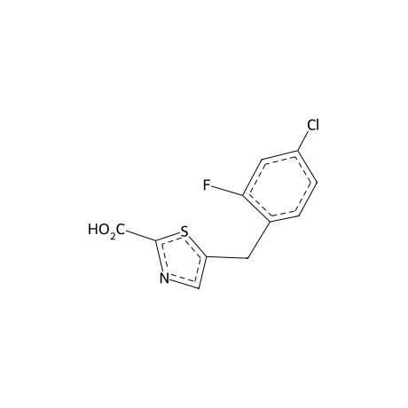 O=C(O)c1ncc(Cc2ccc(Cl)cc2F)s1